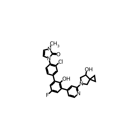 Cn1ccn(-c2ccc(-c3cc(F)cc(-c4ccnc(N5CC(O)C6(CC6)C5)c4)c3O)cc2Cl)c1=O